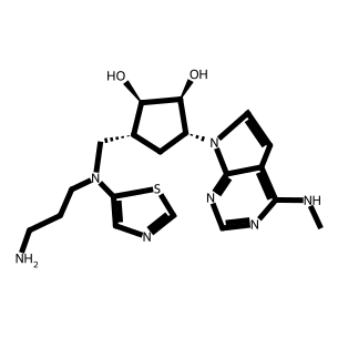 CNc1ncnc2c1ccn2[C@@H]1C[C@H](CN(CCCN)c2cncs2)[C@@H](O)[C@H]1O